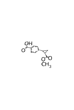 COC(=O)C1CC1c1ccc(C(=O)O)cc1